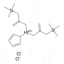 C=C([CH2][Hf+2]([CH2]C(=C)C[Si](C)(C)C)[CH]1C=CC=C1)C[Si](C)(C)C.[Cl-].[Cl-]